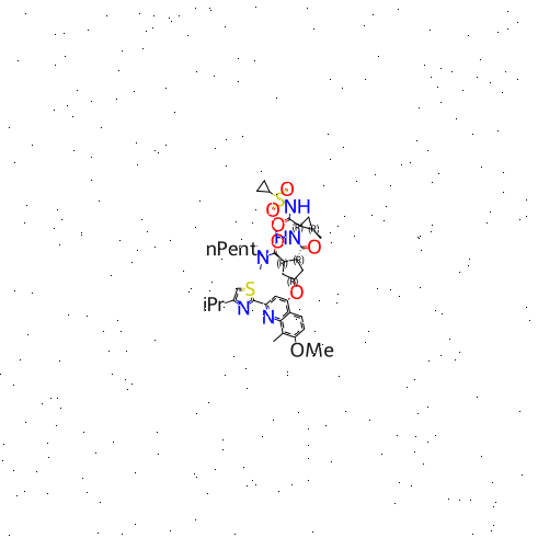 CCCCCN(C)C(=O)[C@@H]1C[C@H](Oc2cc(-c3nc(C(C)C)cs3)nc3c(C)c(OC)ccc23)C[C@H]1C(=O)N[C@]1(C(=O)NS(=O)(=O)C2CC2)C[C@H]1C